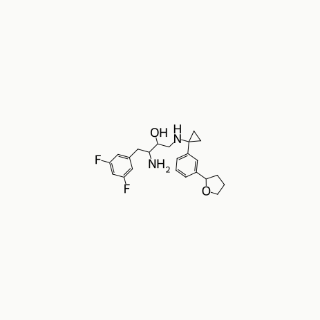 NC(Cc1cc(F)cc(F)c1)C(O)CNC1(c2cccc(C3CCCO3)c2)CC1